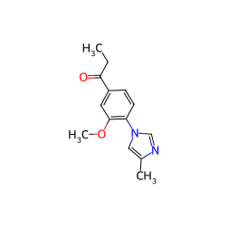 CCC(=O)c1ccc(-n2cnc(C)c2)c(OC)c1